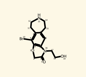 O=C1COc2c(cc3c(c2Br)CCNCC3)N1CCO